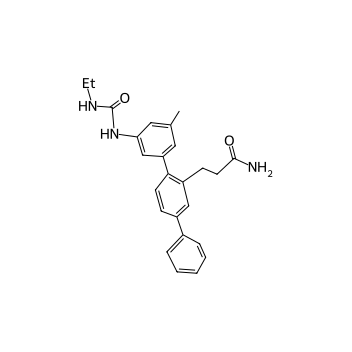 CCNC(=O)Nc1cc(C)cc(-c2ccc(-c3ccccc3)cc2CCC(N)=O)c1